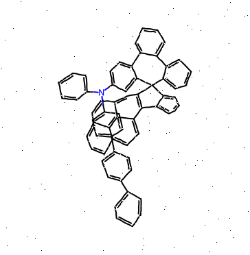 c1ccc(-c2ccc(-c3ccc(N(c4ccccc4)c4ccc5c(c4)C4(c6ccccc6-c6ccccc6-5)c5ccccc5-c5c4cc4ccc6cccc7ccc5c4c67)cc3)cc2)cc1